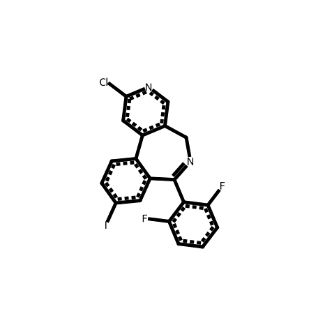 Fc1cccc(F)c1C1=NCc2cnc(Cl)cc2-c2ccc(I)cc21